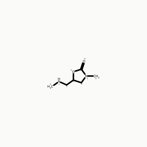 CNCC1CN(C)C(=O)O1